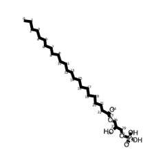 CCCCCCCCCCCCCCCCCCCCCCCC(=O)OCC(O)COP(=O)(O)O